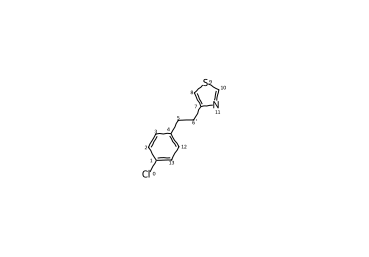 Clc1ccc(C[CH]c2cscn2)cc1